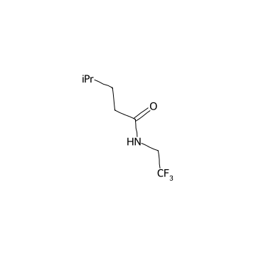 CC(C)CCC(=O)NCC(F)(F)F